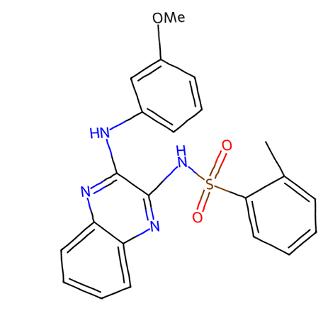 COc1cccc(Nc2nc3ccccc3nc2NS(=O)(=O)c2ccccc2C)c1